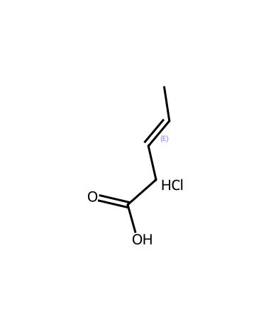 C/C=C/CC(=O)O.Cl